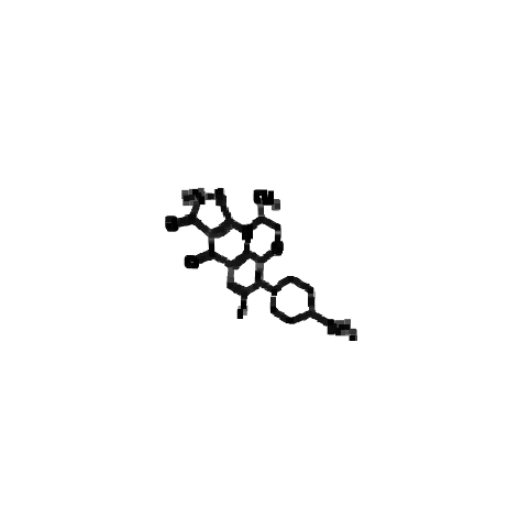 CC1COc2c(C3CCC(N)CC3)c(F)cc3c(=O)c4c(=O)[nH]sc4n1c23